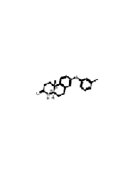 C[C@]12CCC(=O)N[C@@H]1CCc1cc(Sc3cccc(F)c3)ccc12